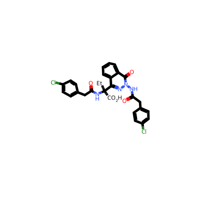 CCC(NC(=O)Cc1ccc(Cl)cc1)(C(=O)O)c1nn(NC(=O)Cc2ccc(Cl)cc2)c(=O)c2ccccc12